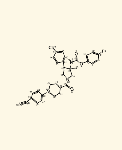 CN(C(=O)Oc1ccc(F)cc1)C1(C)CN(C(=O)C2CCN(c3ccc(C#N)cc3)CC2)CC1c1ccc(Cl)cc1